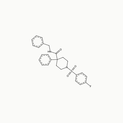 O=C(NCc1ccccc1)C1(c2ccccc2)CCN(S(=O)(=O)c2ccc(F)cc2)CC1